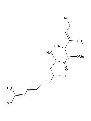 CCC/C(C)=C/C=C/C=C/[C@@H](C)CC(C)C(=O)[C@H](OC)C(O)/C(C)=C/CC(C)=O